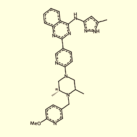 COc1ccc(CN2C(C)CN(c3ccc(-c4nc(Nc5cc(C)[nH]n5)c5ccccc5n4)cn3)C[C@H]2C)cn1